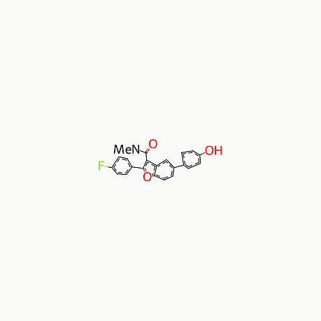 CNC(=O)c1c(-c2ccc(F)cc2)oc2ccc(-c3ccc(O)cc3)cc12